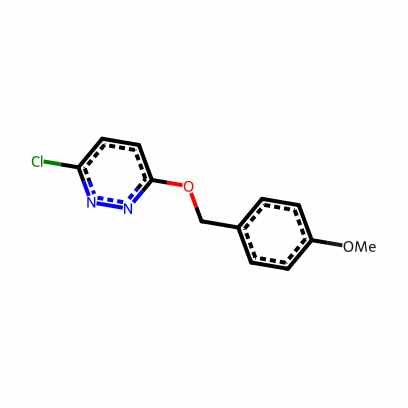 COc1ccc(COc2ccc(Cl)nn2)cc1